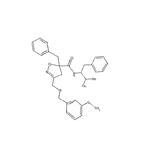 COc1cccc(COCC2=NOC(Cc3ccccc3)(C(=O)NC(Cc3ccccc3)B(O)O)C2)c1